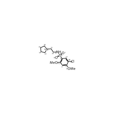 COc1cc(OC)c(S(=O)(=O)NCCN2CCCC2)cc1Cl